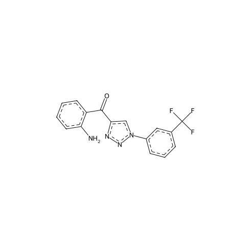 Nc1ccccc1C(=O)c1cn(-c2cccc(C(F)(F)F)c2)nn1